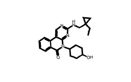 CCC1(CNc2ncc3c4ccccc4c(=O)n(C4CCC(O)CC4)c3n2)CC1